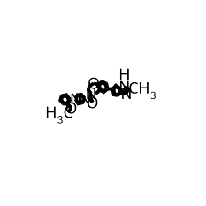 COc1ccccc1N1CCN(C(=O)N2CCOc3ccc(-c4ccc5nc(C)[nH]c5c4)cc3C2)CC1